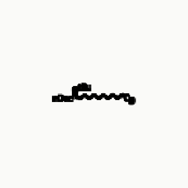 CCCCCCCCCCN(CCCCCCCCCC=C=O)OC(C)(C)C